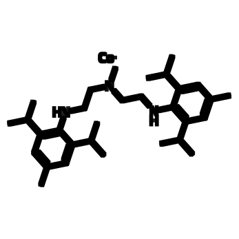 Cc1cc(C(C)C)c(NCCN(C)CCNc2c(C(C)C)cc(C)cc2C(C)C)c(C(C)C)c1.[Co]